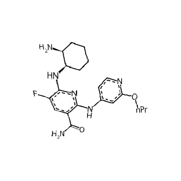 CCCOc1cc(Nc2nc(N[C@@H]3CCCC[C@@H]3N)c(F)cc2C(N)=O)ccn1